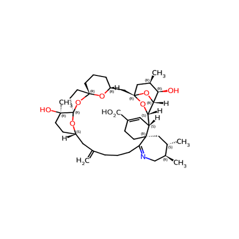 C=C1CCCC2=NC[C@H](C)[C@@H](C)C[C@@]23CCC(C(=O)O)=C[C@@H]3[C@@H]2O[C@]3(C[C@H]4CCC[C@@]5(CC[C@@]6(O[C@@H](CC[C@@]6(C)O)C1)O5)O4)C[C@@H](C)[C@@H](O)[C@H]2O3